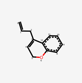 C=CCC1=CCOc2ccccc21